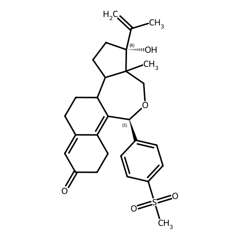 C=C(C)[C@]1(O)CCC2C3CCC4=CC(=O)CCC4=C3[C@H](c3ccc(S(C)(=O)=O)cc3)OCC21C